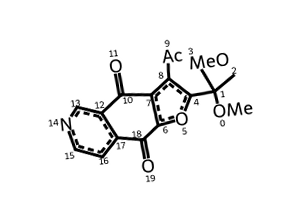 COC(C)(OC)c1oc2c(c1C(C)=O)C(=O)c1cnccc1C2=O